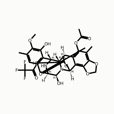 COc1c(C)cc2c(c1O)[C@H]1N[C@H](C2)[C@H](O)N2[C@H]1[C@@H]1SCC(NC(=O)C(F)(F)F)C(=O)OC[C@H]2c2c3c(c(C)c(OC(C)=O)c21)OCO3